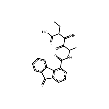 CCC(C(=N)C(=O)C(C)NC(=O)c1cccc2c1-c1ccccc1C2=O)C(=O)O